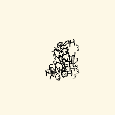 Cc1c([C@]2(C)CCN(C(=O)C(F)(F)F)[C@H](C)C2(C)C)cccc1S(C)(=O)=O